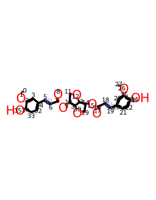 COC1=CC(/C=C/C(=O)OC2COC3C(OC(=O)/C=C/c4ccc(O)c(OC)c4)COC23)=CCC1O